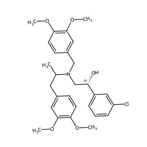 COc1ccc(CC(C)N(Cc2ccc(OC)c(OC)c2)C[C@H](O)c2cccc(Cl)c2)cc1OC